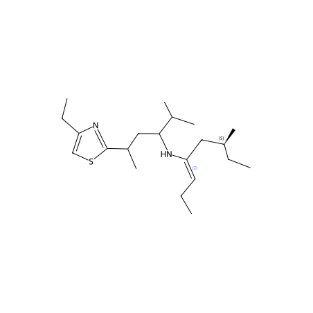 CC/C=C(/C[C@@H](C)CC)NC(CC(C)c1nc(CC)cs1)C(C)C